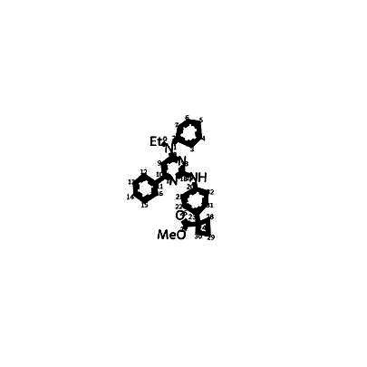 CCN(c1ccccc1)c1cc(-c2ccccc2)nc(Nc2ccc(C3(C(=O)OC)CCC3)cc2)n1